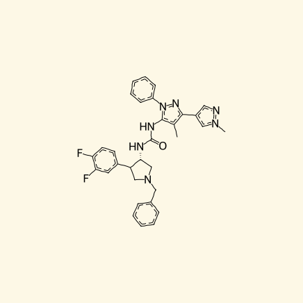 Cc1c(-c2cnn(C)c2)nn(-c2ccccc2)c1NC(=O)N[C@@H]1CN(Cc2ccccc2)CC1c1ccc(F)c(F)c1